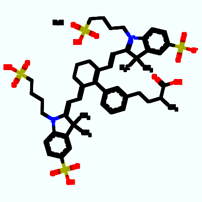 CC(CCc1cccc(C2=C(C=CC3=[N+](CCCCS(=O)(=O)O)c4ccc(S(=O)(=O)[O-])cc4C3(C)C)CCCC2=CC=C2N(CCCCS(=O)(=O)O)c3ccc(S(=O)(=O)O)cc3C2(C)C)c1)C(=O)O.[NaH]